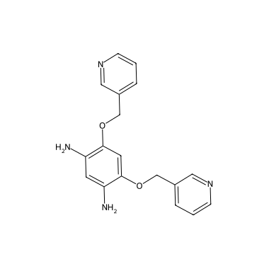 Nc1cc(N)c(OCc2cccnc2)cc1OCc1cccnc1